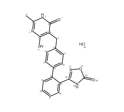 CCCc1nc(C)[nH]c(=O)c1Cc1ccc(-c2ccccc2-c2noc(=O)[nH]2)cc1.Cl